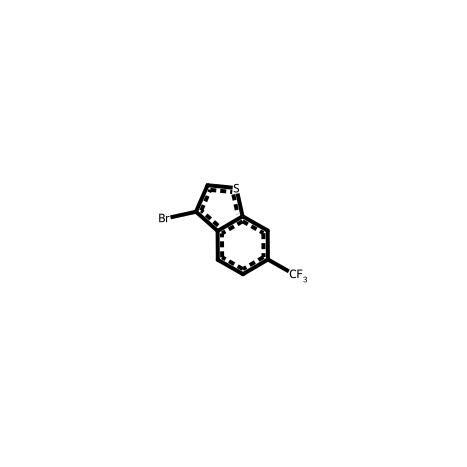 FC(F)(F)c1ccc2c(Br)csc2c1